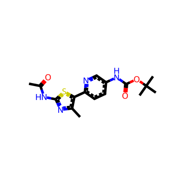 CC(=O)Nc1nc(C)c(-c2ccc(NC(=O)OC(C)(C)C)cn2)s1